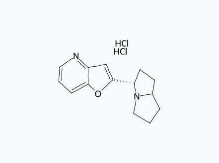 Cl.Cl.c1cnc2cc([C@@H]3CCC4CCCN43)oc2c1